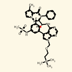 Cc1ccn2nc(C(C)Nc3ncnc4c3c(-c3cc(F)cc(NS(C)(=O)=O)c3)cn4COCC[Si](C)(C)C)n(-c3ccccc3)c(=O)c12